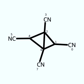 N#CC1C2(C#N)C(C#N)C12C#N